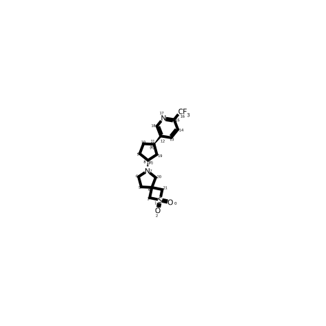 O=S1(=O)CC2(CCN([C@@H]3CC[C@@H](c4ccc(C(F)(F)F)nc4)C3)C2)C1